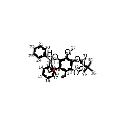 COc1c(C)c(C(C)(C)C)c(O[SiH](c2ccccc2)c2ccccc2)c(OC)c1O[Si](C)(C)C(C)(C)C